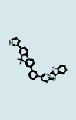 CC1(C)c2cc(-c3cccnc3)ccc2-c2ccc(-c3cccc(-c4ccc5nc6c7ccccc7sc6n5c4)c3)cc21